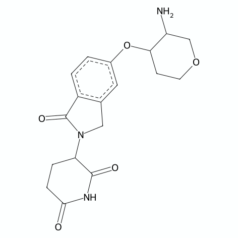 NC1COCCC1Oc1ccc2c(c1)CN(C1CCC(=O)NC1=O)C2=O